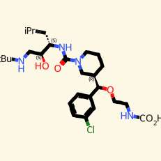 CC(C)C[C@H](NC(=O)N1CCC[C@@H](C(OCCNC(=O)O)c2cccc(Cl)c2)C1)[C@@H](O)CNC(C)(C)C